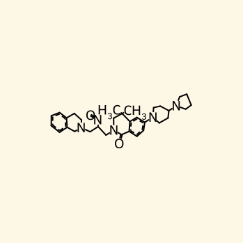 CC1(C)CN(CC(CN2CCc3ccccc3C2)N=O)C(=O)c2ccc(N3CCC(N4CCCC4)CC3)cc21